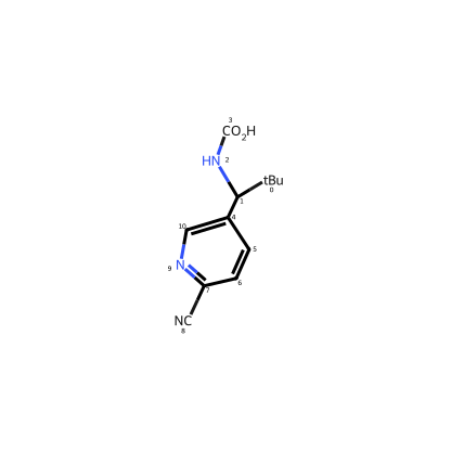 CC(C)(C)C(NC(=O)O)c1ccc(C#N)nc1